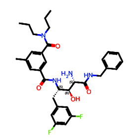 CCCN(CCC)C(=O)c1cc(C)cc(C(=O)N[C@@H](Cc2cc(F)cc(F)c2)[C@H](O)[C@H](N)C(=O)NCc2ccccc2)c1